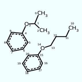 CC(C)Oc1cc[c]cc1.CCCCOc1cc[c]cc1